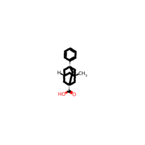 C[C@]12C[C@@H]3C[C@](C(=O)O)(C1)C[C@@](c1ccccc1)(C3)C2